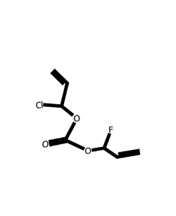 C=CC(F)OC(=O)OC(Cl)C=C